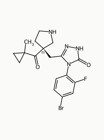 CC1(C(=O)[C@]2(Cc3n[nH]c(=O)n3-c3ccc(Br)cc3F)CCNC2)CC1